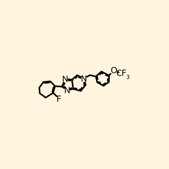 FC1=C(c2nc3ccn(Cc4cccc(OC(F)(F)F)c4)cc-3n2)C=CCCC1